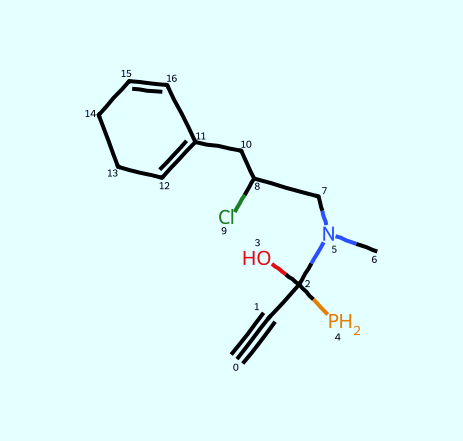 C#CC(O)(P)N(C)CC(Cl)CC1=CCCC=C1